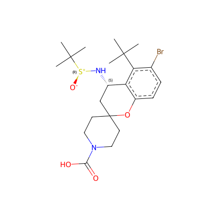 CC(C)(C)c1c(Br)ccc2c1[C@@H](N[S@@+]([O-])C(C)(C)C)CC1(CCN(C(=O)O)CC1)O2